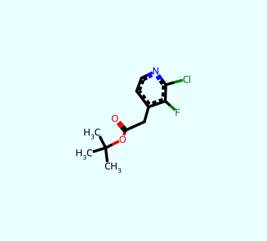 CC(C)(C)OC(=O)Cc1ccnc(Cl)c1F